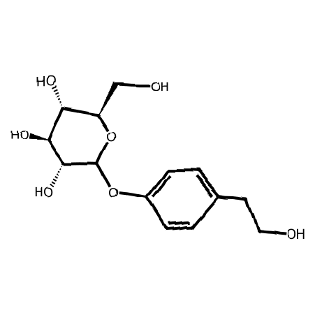 OCCc1ccc(OC2O[C@H](CO)[C@@H](O)[C@H](O)[C@H]2O)cc1